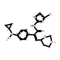 O=C(Nc1ncc(Cl)s1)C(=CC1CCOCC1)c1ccc([S+]([O-])C2CC2)cc1